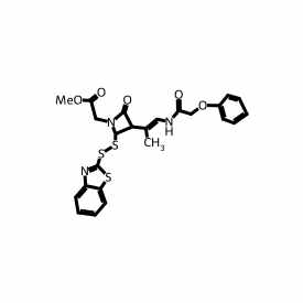 COC(=O)CN1C(=O)C(C(C)=CNC(=O)COc2ccccc2)C1SSc1nc2ccccc2s1